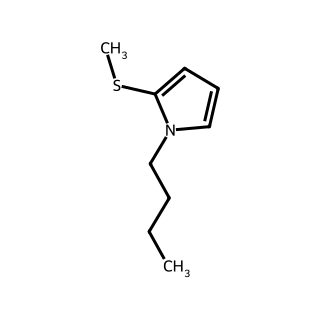 CCCCn1cccc1SC